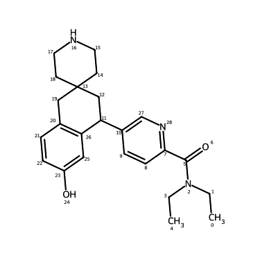 CCN(CC)C(=O)c1ccc(C2CC3(CCNCC3)Cc3ccc(O)cc32)cn1